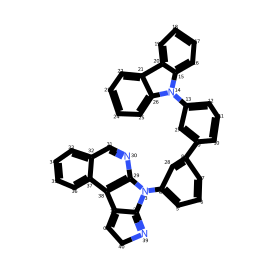 C1=c2c(n(-c3cccc(-c4cccc(-n5c6ccccc6c6ccccc65)c4)c3)c3ncc4ccccc4c23)=NC1